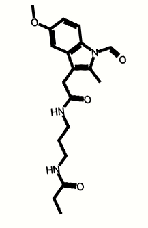 CCC(=O)NCCCNC(=O)Cc1c(C)n(C=O)c2ccc(OC)cc12